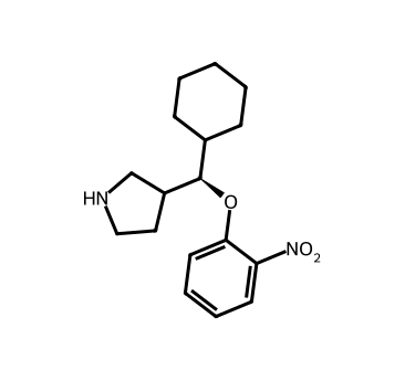 O=[N+]([O-])c1ccccc1O[C@H](C1CCCCC1)C1CCNC1